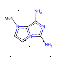 CNn1ccn2c(N)nc(N)c12